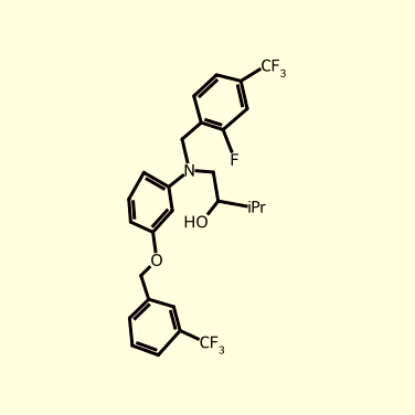 CC(C)C(O)CN(Cc1ccc(C(F)(F)F)cc1F)c1cccc(OCc2cccc(C(F)(F)F)c2)c1